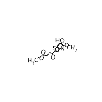 CCOC(=O)CCC(=O)c1cc2nc(OC)c(O)cc2s1